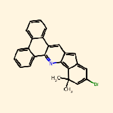 CC1(C)C=C(Br)C=C2C=c3cc4c5ccccc5c5ccccc5c4nc3=C21